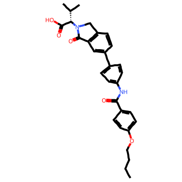 CCCCOc1ccc(C(=O)Nc2ccc(-c3ccc4c(c3)C(=O)N([C@H](C(=O)O)C(C)C)C4)cc2)cc1